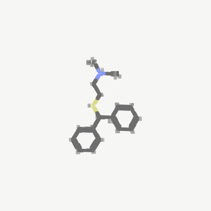 CN(C)CCSC(c1ccccc1)c1ccccc1